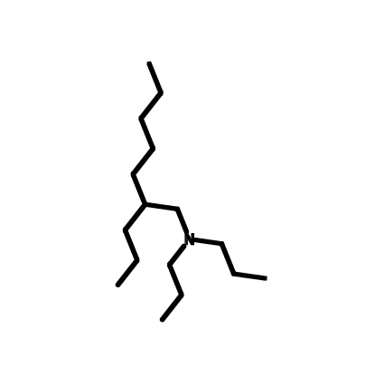 CCCCCC(CCC)CN(CCC)CCC